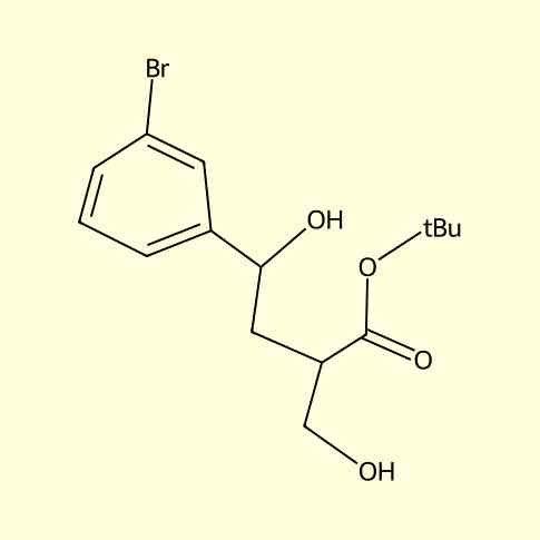 CC(C)(C)OC(=O)C(CO)CC(O)c1cccc(Br)c1